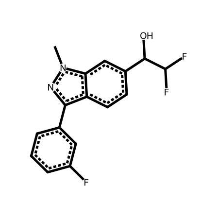 Cn1nc(-c2cccc(F)c2)c2ccc(C(O)C(F)F)cc21